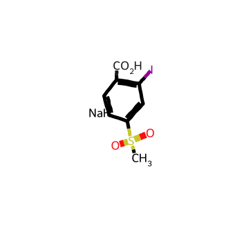 CS(=O)(=O)c1ccc(C(=O)O)c(I)c1.[NaH]